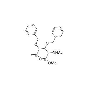 CO[C@@H]1O[C@@H](C)C(OCc2ccccc2)C(OCc2ccccc2)C1NC(C)=O